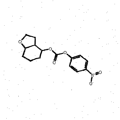 O=C(Oc1ccc([N+](=O)[O-])cc1)OC1CCCC2OCCC21